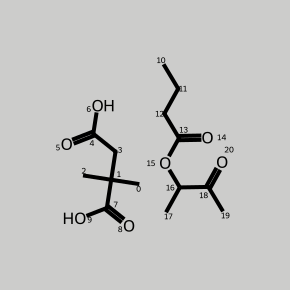 CC(C)(CC(=O)O)C(=O)O.CCCC(=O)OC(C)C(C)=O